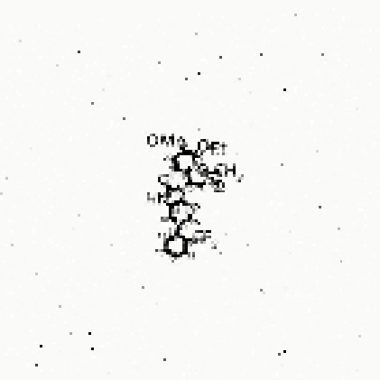 CCOc1nc(C(CS(C)(=O)=O)n2c(=O)[nH]c3cc(-c4ccccc4C(F)(F)F)cnc32)ccc1OC